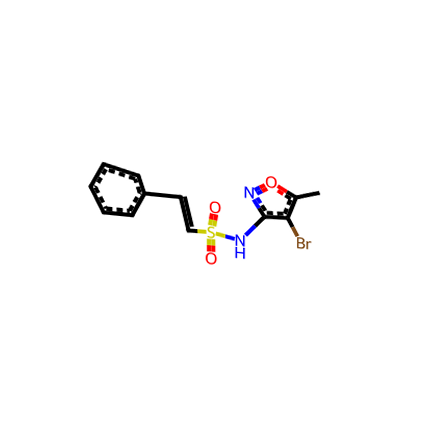 Cc1onc(NS(=O)(=O)/C=C/c2ccccc2)c1Br